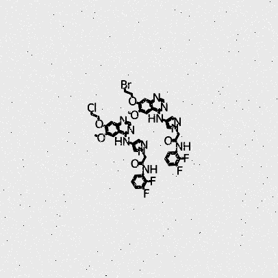 COc1cc2c(Nc3cnn(CC(=O)Nc4cccc(F)c4F)c3)ncnc2cc1OCCBr.COc1cc2c(Nc3cnn(CC(=O)Nc4cccc(F)c4F)c3)ncnc2cc1OCCCl